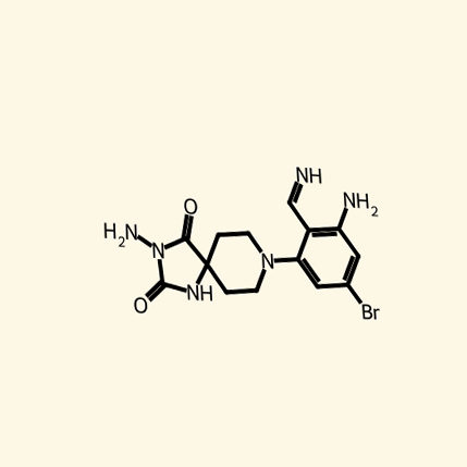 N=Cc1c(N)cc(Br)cc1N1CCC2(CC1)NC(=O)N(N)C2=O